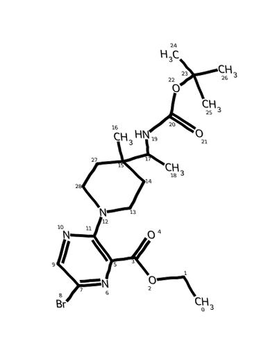 CCOC(=O)c1nc(Br)cnc1N1CCC(C)(C(C)NC(=O)OC(C)(C)C)CC1